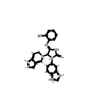 S=C1N/C(=N\c2ccccc2Br)C(N2C=c3cnsc3=CC2)N1c1ccc2[nH]cnc2c1